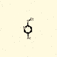 CCSc1ccc(C(C)=O)cn1